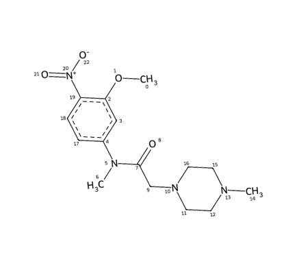 COc1cc(N(C)C(=O)CN2CCN(C)CC2)ccc1[N+](=O)[O-]